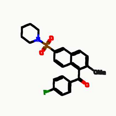 COc1ccc2cc(S(=O)(=O)N3CCCCC3)ccc2c1C(=O)c1ccc(F)cc1